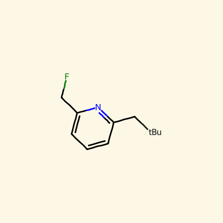 CC(C)(C)Cc1cccc(CF)n1